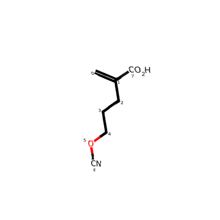 C=C(CCCOC#N)C(=O)O